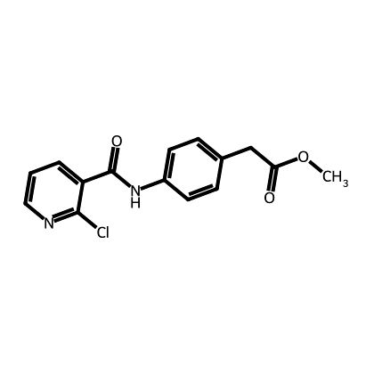 COC(=O)Cc1ccc(NC(=O)c2cccnc2Cl)cc1